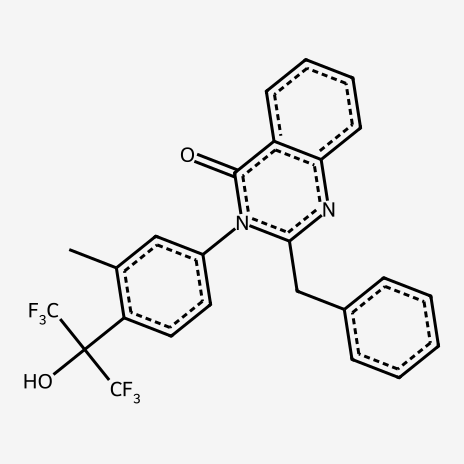 Cc1cc(-n2c(Cc3ccccc3)nc3ccccc3c2=O)ccc1C(O)(C(F)(F)F)C(F)(F)F